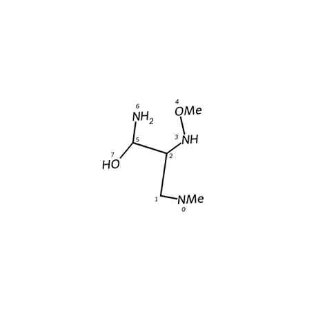 CNCC(NOC)C(N)O